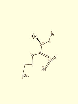 CCCCCCCCCCOC(=O)[C@@H](N)CC(C)C.N=C=O